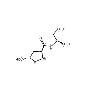 O=C(O)C[C@H](NC(=O)[C@@H]1C[C@@H](S(=O)(=O)O)CN1)C(=O)O